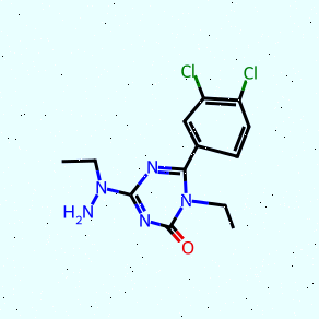 CCN(N)c1nc(-c2ccc(Cl)c(Cl)c2)n(CC)c(=O)n1